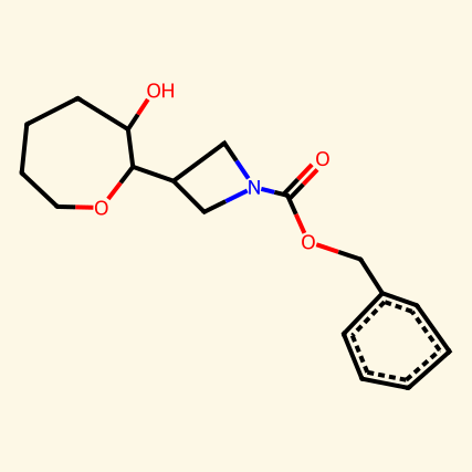 O=C(OCc1ccccc1)N1CC(C2OCCCCC2O)C1